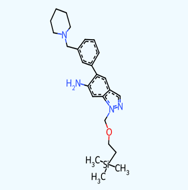 C[Si](C)(C)CCOCn1ncc2cc(-c3cccc(CN4CCCCC4)c3)c(N)cc21